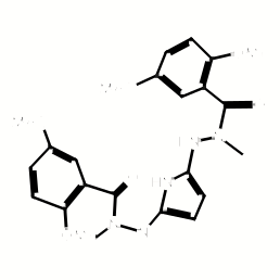 COc1ccc(OC)c(C(=O)N(C)Nc2ccc(NN(C)C(=O)c3cc(OC)ccc3OC)[nH]2)c1